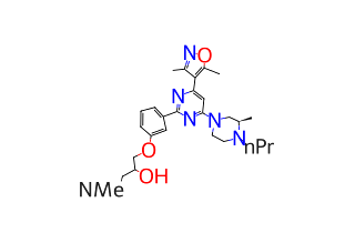 CCCN1CCN(c2cc(-c3c(C)noc3C)nc(-c3cccc(OCC(O)CNC)c3)n2)C[C@H]1C